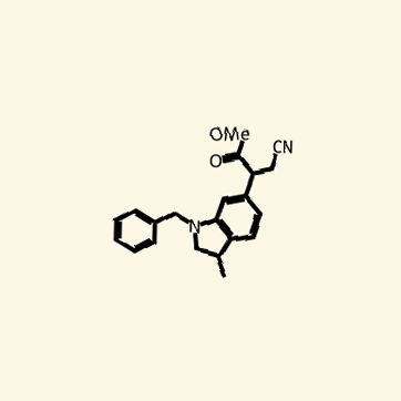 COC(=O)C(CC#N)c1ccc2c(c1)N(Cc1ccccc1)CC2C